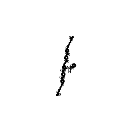 C=CC(=O)OCCCCCCOc1ccc(C(=O)OC2CCC(C(=O)OCCc3ccc(OC(=O)C4CCC(OC(=O)c5ccc(OCCCCCCOC(=O)C=C)cc5)CC4)c(/C=N/Nc4nc5ccccc5s4)c3)CC2)cc1